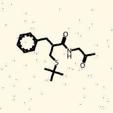 CC(=O)CNC(=O)C(CSC(C)(C)C)Cc1ccccc1